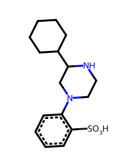 O=S(=O)(O)c1ccccc1N1CCNC(C2CCCCC2)C1